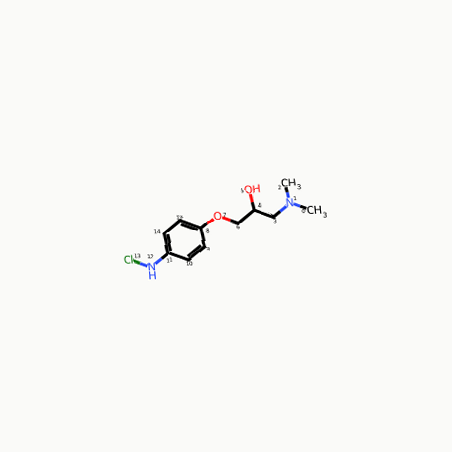 CN(C)CC(O)COc1ccc(NCl)cc1